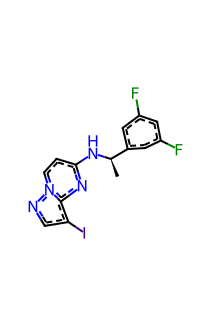 C[C@@H](Nc1ccn2ncc(I)c2n1)c1cc(F)cc(F)c1